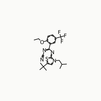 CCOc1ccc(C(F)(F)F)cc1C(=NC#N)N=c1sc(C(C)(C)C)cn1CC(C)C